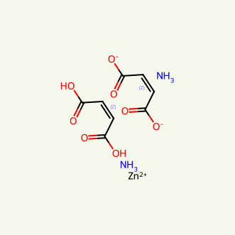 N.N.O=C(O)/C=C\C(=O)O.O=C([O-])/C=C\C(=O)[O-].[Zn+2]